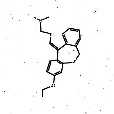 CCOc1ccc2c(c1)CCc1ccccc1C2=CCCN(C)C